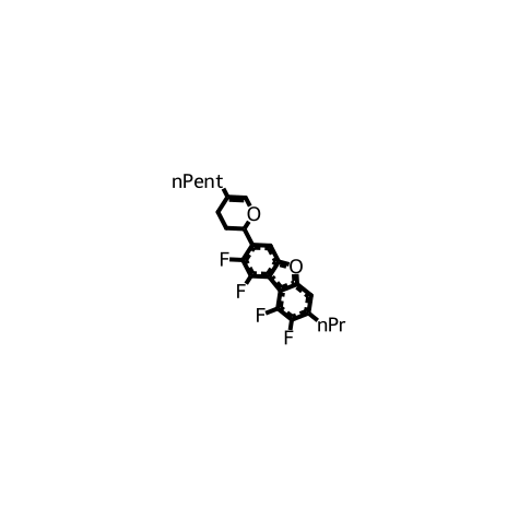 CCCCCC1=COC(c2cc3oc4cc(CCC)c(F)c(F)c4c3c(F)c2F)CC1